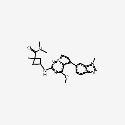 COc1nc(NC2CC(C)(C(=O)N(C)C)C2)nn2ccc(-c3ccc4nnn(C)c4c3)c12